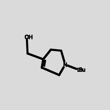 CC(C)(C)N1CC=C(CO)CC1